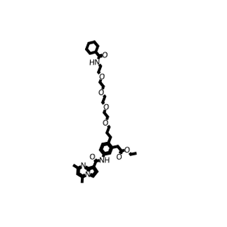 CCOC(=O)Cc1cc(NC(=O)c2ccn3c(C)cc(C)nc23)ccc1CCCOCCOCCOCCOCCNC(=O)C1CCCCC1